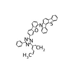 C=C/C(=C\C=C/C)c1nc(-c2ccccc2)nc(-c2ccc3c(c2)oc2c(-n4c5ccccc5c5c6sc7ccccc7c6ccc54)cccc23)n1